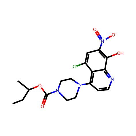 CCC(C)OC(=O)N1CCN(c2ccnc3c(O)c([N+](=O)[O-])cc(Cl)c23)CC1